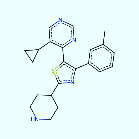 Cc1cccc(-c2nc(C3CCNCC3)sc2-c2n[c]ncc2C2CC2)c1